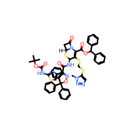 Cn1nncc1SCSC1=C(C(=O)OC(c2ccccc2)c2ccccc2)N2C(=O)C[C@@H]2SC1NC(=O)C(=NOC(c1ccccc1)(c1ccccc1)c1ccccc1)c1csc(NC(=O)OC(C)(C)C)n1